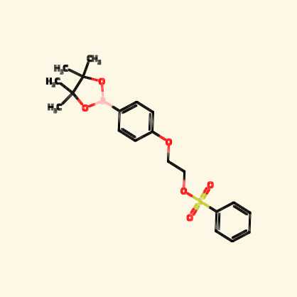 CC1(C)OB(c2ccc(OCCOS(=O)(=O)c3ccccc3)cc2)OC1(C)C